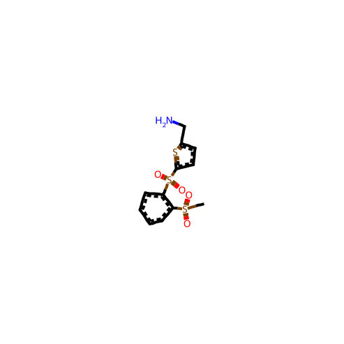 CS(=O)(=O)c1ccccc1S(=O)(=O)c1ccc(CN)s1